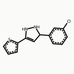 Clc1cccc(C2C=C(c3cccs3)NN2)c1